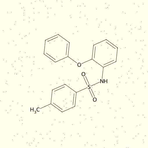 Cc1ccc(S(=O)(=O)Nc2ccccc2Oc2ccccc2)cc1